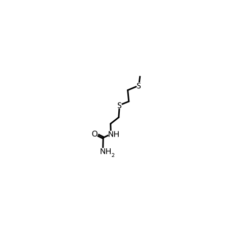 CSCCSCCNC(N)=O